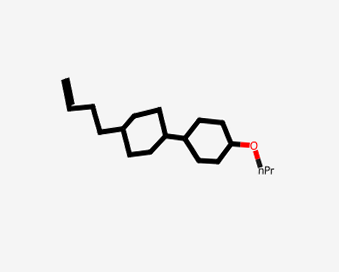 C=CCCC1CCC(C2CCC(OCCC)CC2)CC1